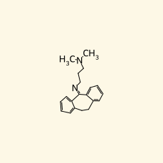 CN(C)CCCN=C1c2ccccc2CCc2ccccc21